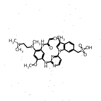 C=CC(=O)Nc1cc(Nc2nccc(-n3cc(C)c4ccc(CS(=O)(=O)O)cc43)n2)c(OC)cc1N(C)CCN(C)C